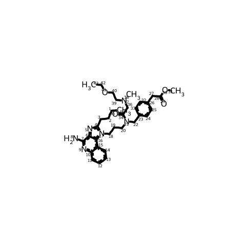 CCCCc1nc2c(N)nc3ccccc3c2n1CCCN(Cc1ccc(CC(=O)OC)cc1)C(=O)CN(C)CCOCC